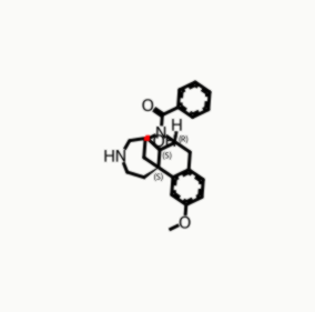 COc1ccc2c(c1)[C@@]13CCNCC[C@@]1(O)[C@@H](C2)N(C(=O)c1ccccc1)CC3